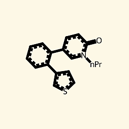 CCCn1cc(-c2ccccc2-c2ccsc2)ccc1=O